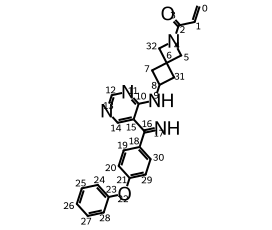 C=CC(=O)N1CC2(CC(Nc3ncncc3C(=N)c3ccc(Oc4ccccc4)cc3)C2)C1